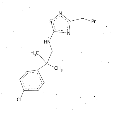 CC(C)Cc1nsc(NCC(C)(C)c2ccc(Cl)cc2)n1